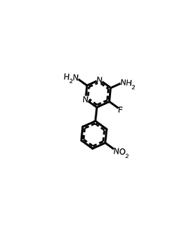 Nc1nc(N)c(F)c(-c2cccc([N+](=O)[O-])c2)n1